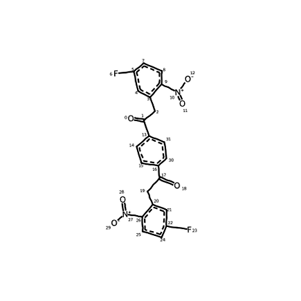 O=C(Cc1cc(F)ccc1[N+](=O)[O-])c1ccc(C(=O)Cc2cc(F)ccc2[N+](=O)[O-])cc1